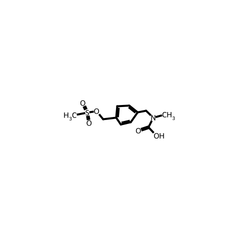 CN(Cc1ccc(COS(C)(=O)=O)cc1)C(=O)O